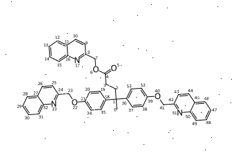 CC(CCC(=O)OCc1ccc2ccccc2n1)(c1ccc(OCc2ccc3ccccc3n2)cc1)c1ccc(OCc2ccc3ccccc3n2)cc1